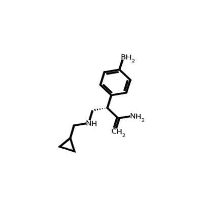 Bc1ccc([C@@H](CNCC2CC2)C(=C)N)cc1